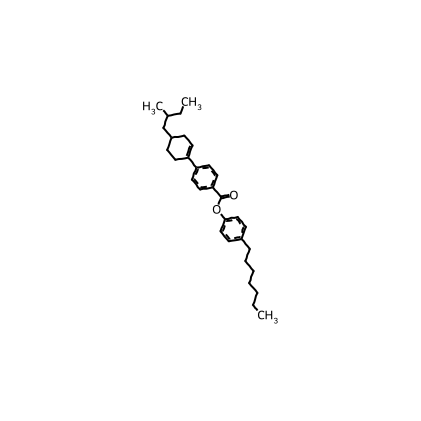 CCCCCCCc1ccc(OC(=O)c2ccc(C3=CCC(CC(C)CC)CC3)cc2)cc1